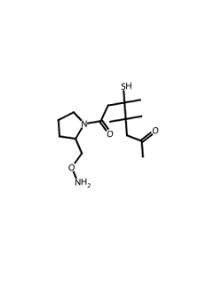 CC(=O)CC(C)(C)C(C)(S)CC(=O)N1CCCC1CON